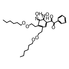 CCCCCCOOCCC1=C(CCOOCCCCCC)C(=NO)C(=NO)C(C(=O)C(=O)c2ccccc2)=C1